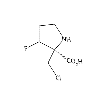 O=C(O)[C@@]1(CCl)NCCC1F